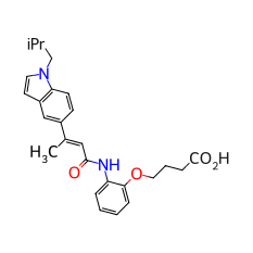 CC(=CC(=O)Nc1ccccc1OCCCC(=O)O)c1ccc2c(ccn2CC(C)C)c1